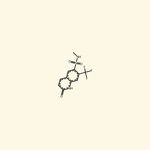 CNS(=O)(=O)c1cc2c[c]c(=O)[nH]c2cc1C(F)(F)F